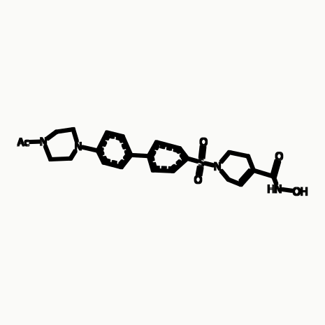 CC(=O)N1CCN(c2ccc(-c3ccc(S(=O)(=O)N4CC=C(C(=O)NO)CC4)cc3)cc2)CC1